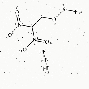 F.F.F.O=[N+]([O-])C(COSF)[N+](=O)[O-]